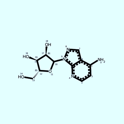 Nc1ccnc2c1cnn2C1O[C@H](CO)[C@@H](O)[C@H]1O